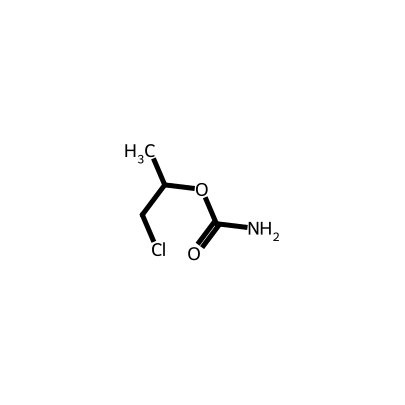 CC(CCl)OC(N)=O